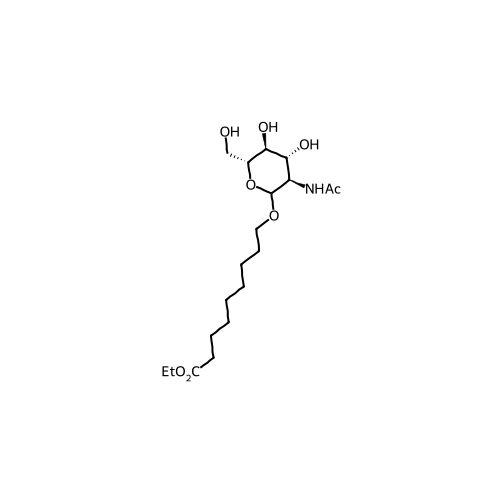 CCOC(=O)CCCCCCCCOC1O[C@H](CO)[C@@H](O)[C@H](O)[C@H]1NC(C)=O